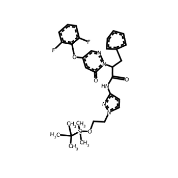 CC(C)(C)[Si](C)(C)OCCn1ccc(NC(=O)C(Cc2ccccc2)n2ncc(Oc3c(F)cccc3F)cc2=O)n1